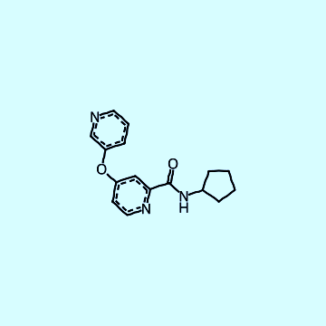 O=C(NC1CCCC1)c1cc(Oc2cccnc2)ccn1